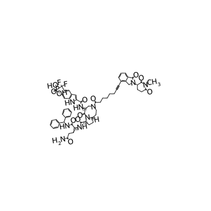 CN1C(=O)CCC(N2Cc3c(C#CCCCCCC(=O)N4CC[C@H]5CC[C@@H](C(=O)N[C@@H](CCC(N)=O)C(=O)NC(c6ccccc6)c6ccccc6)N5C(=O)[C@@H](NC(=O)c5cc6cc(C(F)(F)P(=O)(O)O)ccc6[nH]5)C4)cccc3C2=O)C1=O